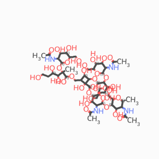 CC(=O)NC1C(O)[C@H](O)C(CO)O[C@H]1OC1C(O)[C@H](O)C(CO)O[C@@H]1OC1[C@H](O)C(CO[C@@H](O)C(C)(O[C@@H]2OC(CO)[C@@H](O)C(O)C2NC(C)=O)C(O)[C@H](O)CCO)C1(O)[C@@H](O)O[C@@H]1C(CO)O[C@@H](O[C@@H]2C(CO)O[C@@H](C)C(NC(C)=O)C2O)C(NC(C)=O)C1O